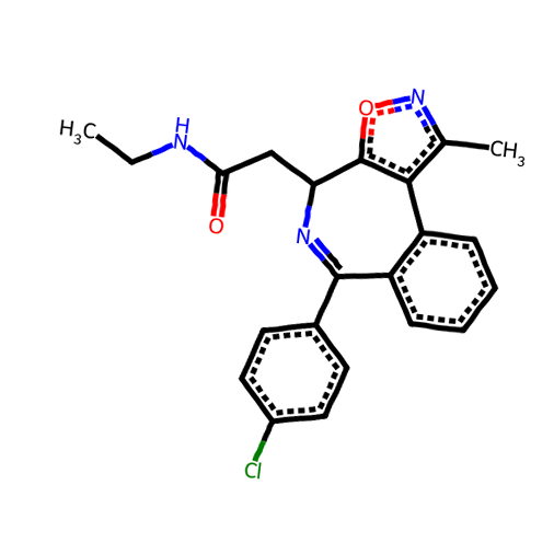 CCNC(=O)CC1N=C(c2ccc(Cl)cc2)c2ccccc2-c2c(C)noc21